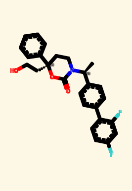 C[C@@H](c1ccc(-c2ccc(F)cc2F)cc1)N1CC[C@](CCO)(c2ccccc2)OC1=O